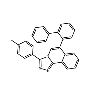 Ic1ccc(-c2nnc3c4ccccc4c(-c4ccccc4-c4ccccc4)cn23)cc1